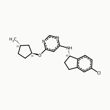 C[C@H]1CC[C@H](Oc2cc(N[C@H]3CCc4cc(Cl)ccc43)ncn2)C1